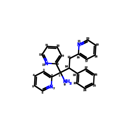 NC(c1ccccn1)(c1ccccn1)C(Cc1ccccn1)c1ccccc1